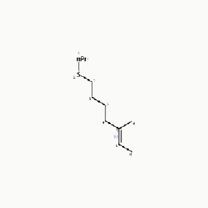 C/C=C(\C)CCCCS[CH]CC